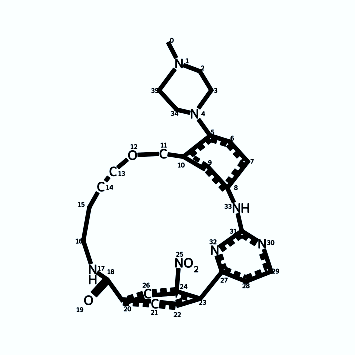 CN1CCN(c2ccc3cc2COCCCCNC(=O)c2ccc(c([N+](=O)[O-])c2)-c2ccnc(n2)N3)CC1